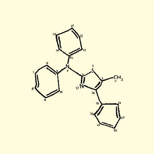 Cc1sc(N(c2ccccc2)c2ccccc2)nc1-c1ccccc1